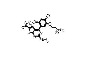 CCN(CC)CCOc1cc(-c2nc(N)nc3sc(C(N)=O)cc23)c(Cl)cc1Cl